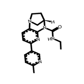 CCNC(=O)N1c2nc(-c3ccc(C)nc3)ccc2N2CC[C@H]1C2